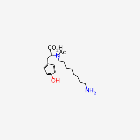 CC(=O)N(CCCCCCCCN)[C@@H](Cc1ccc(O)cc1)C(=O)O